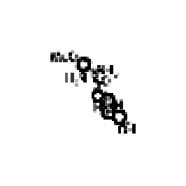 COc1ccc(N(N)CC(=O)[C@H]2CC[C@H]3[C@@H]4CCC5C[C@](C)(O)CCC5(F)[C@H]4CC[C@]23C)c(N)c1